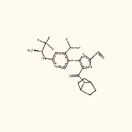 C[C@H](Nc1cc(C(F)F)c(-c2sc(C=O)nc2C(=O)N2C3CCC2CC3)cn1)C(F)(F)F